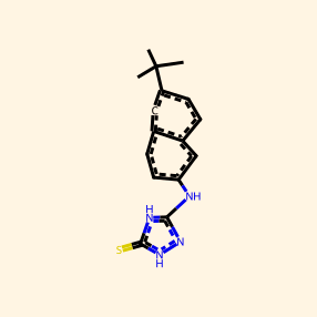 CC(C)(C)c1ccc2cc(Nc3n[nH]c(=S)[nH]3)ccc2c1